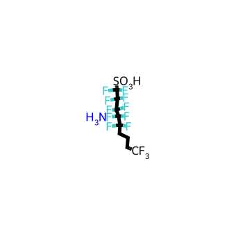 N.O=S(=O)(O)C(F)(F)C(F)(F)C(F)(F)C(F)(F)C(F)(F)CCCC(F)(F)F